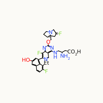 CCc1c(F)ccc2cc(O)cc(-c3ncc4c(NCC(N)CC(=O)O)nc(OC[C@@]56CCCN5C[C@H](F)C6)nc4c3F)c12